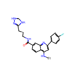 CCNc1cc(-c2ccc(F)cc2)nc2cc(C(=O)NCCCC3=NNCN3)ccc12